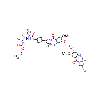 C=CCOC(=O)N[C@H](C(=O)N[C@@H](C)C(=O)Cc1ccc(C2=CN3C(=O)c4cc(OC)c(OCCCOc5cc6c(cc5OC)C(=O)N5C=C(C7CC7)C[C@H]5C=N6)cc4N=C[C@@H]3C2)cc1)C(C)C